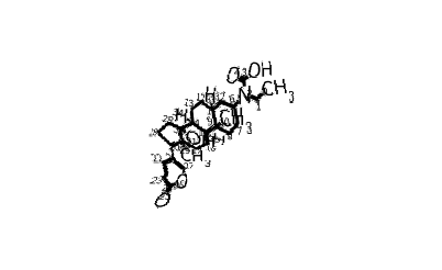 CCN(C(=O)O)C1CC[C@@]2(C)[C@H](CC[C@@H]3[C@@H]2CC[C@]2(C)[C@@H](c4ccc(=O)oc4)CC[C@]32O)C1